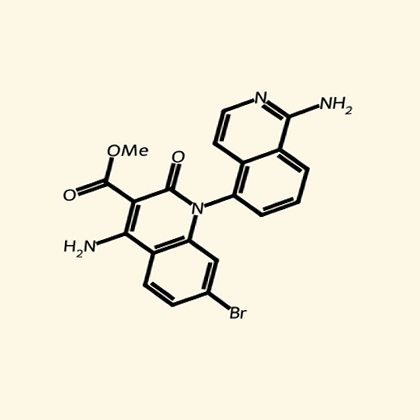 COC(=O)c1c(N)c2ccc(Br)cc2n(-c2cccc3c(N)nccc23)c1=O